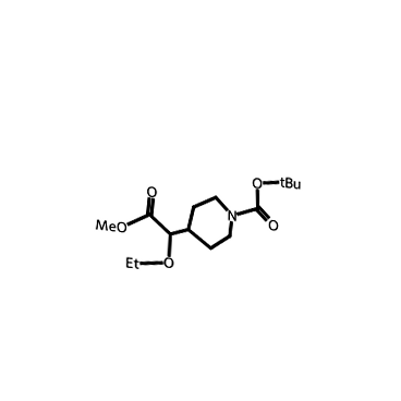 CCOC(C(=O)OC)C1CCN(C(=O)OC(C)(C)C)CC1